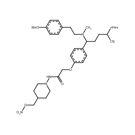 CCCCCCC(C#N)CCC(c1ccc(OCC(=O)NN2CCC(CO[N+](=O)[O-])CC2)cc1)N(C)CCc1ccc(OC)cc1